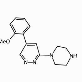 COc1ccccc1-c1cnnc(N2CCNCC2)c1